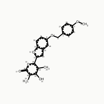 COc1ccc(COc2ccc3oc(-c4oc(=O)c(C)c(O)c4C)cc3c2)cc1